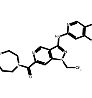 O=C(c1cc2c(cn1)c(Nc1cc(F)c(Cl)cn1)nn2CC(F)(F)F)N1CCCOCC1